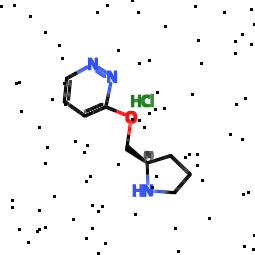 Cl.c1cnnc(OC[C@H]2CCCN2)c1